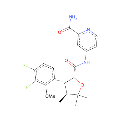 COc1c([C@@H]2[C@H](C(=O)Nc3ccnc(C(N)=O)c3)OC(C)(C)[C@H]2C)ccc(F)c1F